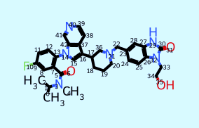 CC(C)N(C)C(=O)c1cc(F)ccc1-n1cc(C2CCCN(Cc3ccc4c(c3)[nH]c(=O)n4CCO)C2)c2ccncc21